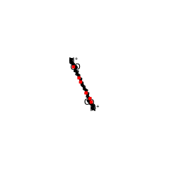 C[N+](C)(C)CCOC(=O)CCCCCCC/C=C/CCCCCCCC(=O)OCC[N+](C)(C)C